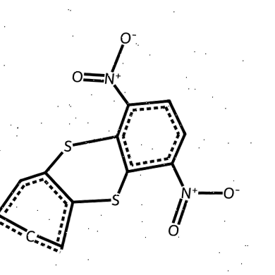 O=[N+]([O-])c1ccc([N+](=O)[O-])c2c1Sc1ccccc1S2